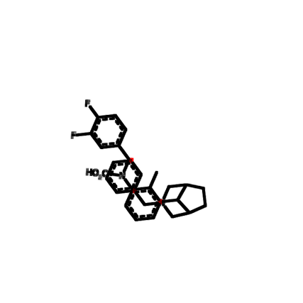 Cc1c(C2C3CCC2CN(Cc2ccccc2)C3)cccc1N(Cc1ccc(F)c(F)c1)C(=O)O